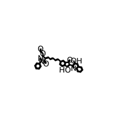 O=COC1=NN(c2ccccc2)C(=O)\C1=C/C=C/C=C/c1ccc2c(c1)C(=O)C(c1nc3ccccc3cc1O)=C2O